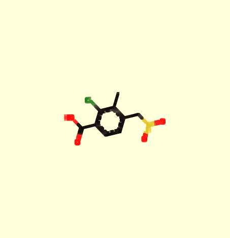 Cc1c(C[SH](=O)=O)ccc(C(=O)O)c1Cl